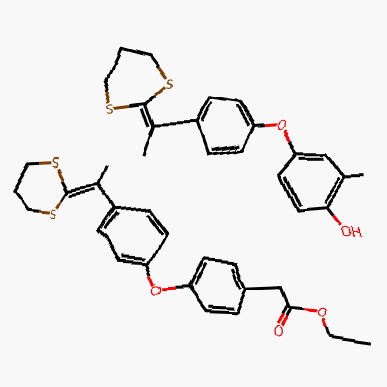 CC(=C1SCCCS1)c1ccc(Oc2ccc(O)c(C)c2)cc1.CCOC(=O)Cc1ccc(Oc2ccc(C(C)=C3SCCCS3)cc2)cc1